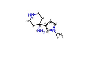 Cn1ccc(C2(N)CCNCC2)c1